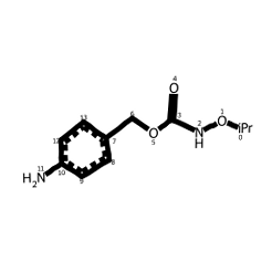 CC(C)ONC(=O)OCc1ccc(N)cc1